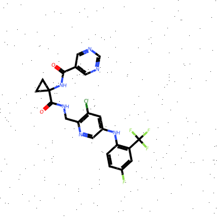 O=C(NC1(C(=O)NCc2ncc(Nc3ccc(F)cc3C(F)(F)F)cc2Cl)CC1)c1cncnc1